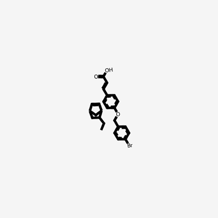 CCC1CC2C=CC1C2.O=C(O)C=Cc1ccc(OCc2ccc(Br)cc2)cc1